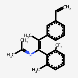 C=Cc1cccc(/C(C)=C(/N=C(C)C)c2c(C)cccc2C(F)(F)F)c1